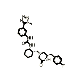 Cn1nnnc1-c1cccc(NC(=O)N[C@@H]2CCCC[C@H]2CN2CC(=O)N[C@H](Cc3ccc(F)cc3)C2)c1